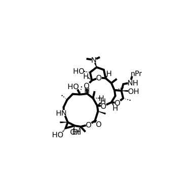 CCCNC[C@]1(O)[C@H](C)O[C@@H]2C[C@@]1(C)C(C)[C@@H]1C[C@H](N(C)C)[C@@H](O)[C@@H](O1)O[C@@H]1[C@@H](C)[C@H](O2)[C@@H](C)C(=O)O[C@](C)(CC)[C@@]2(O)[C@H](O)[C@]2(C)NC[C@H](C)C[C@@]1(C)O